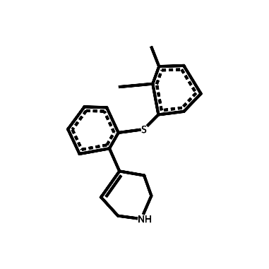 Cc1cccc(Sc2ccccc2C2=CCNCC2)c1C